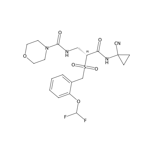 N#CC1(NC(=O)[C@@H](CNC(=O)N2CCOCC2)S(=O)(=O)Cc2ccccc2OC(F)F)CC1